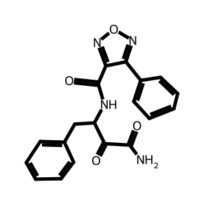 NC(=O)C(=O)C(Cc1ccccc1)NC(=O)c1nonc1-c1ccccc1